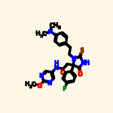 COc1ncc(NC(=O)CC2(c3ccc(F)cc3)C(=O)NC(=S)N2CCc2ccc(N(C)C)cc2)cn1